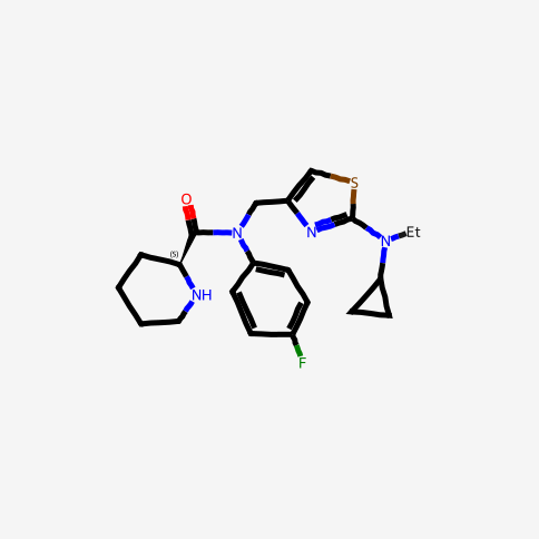 CCN(c1nc(CN(C(=O)[C@@H]2CCCCN2)c2ccc(F)cc2)cs1)C1CC1